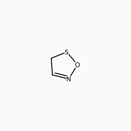 C1=NOSC1